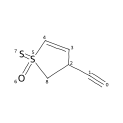 C#CC1C=CS(=O)(=S)C1